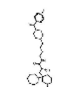 O=C(NCCCCC1CCN(C(=O)c2ccc(F)cc2)CC1)C1CC2(C3CCCCCC3)CNCCC2N1